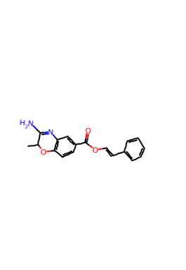 CC1Oc2ccc(C(=O)OC=Cc3ccccc3)cc2N=C1N